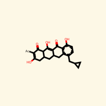 CC(=O)C1=C(O)CC2CC3Cc4c(CC5CC5)ccc(O)c4C(=O)C3=C(O)C2C1=O